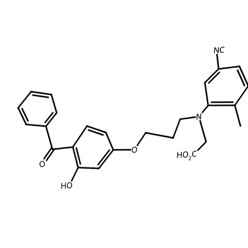 [C-]#[N+]c1ccc(C)c(N(CCCOc2ccc(C(=O)c3ccccc3)c(O)c2)CC(=O)O)c1